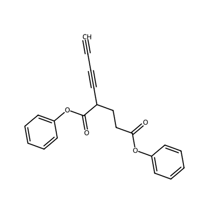 C#CC#CC(CCC(=O)Oc1ccccc1)C(=O)Oc1ccccc1